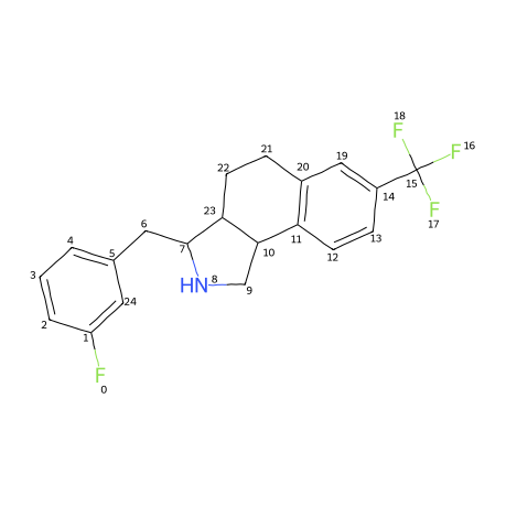 Fc1cccc(CC2NCC3c4ccc(C(F)(F)F)cc4CCC23)c1